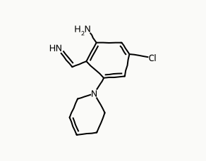 N=Cc1c(N)cc(Cl)cc1N1CC=CCC1